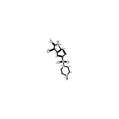 CN1CCN(S(=O)(=O)c2ccc3c(c2)C(=O)C(=O)N3)CC1